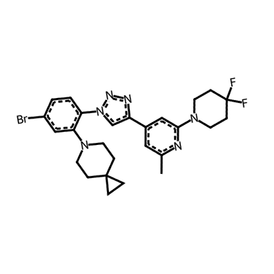 Cc1cc(-c2cn(-c3ccc(Br)cc3N3CCC4(CC3)CC4)nn2)cc(N2CCC(F)(F)CC2)n1